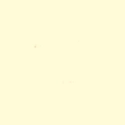 CCCCCCCCCCCCCCC(C)C(CCCCCCCCCCCCCC)C(=O)O